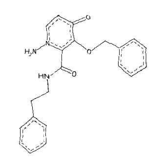 Nn1ccc(=O)c(OCc2ccccc2)c1C(=O)NCCc1ccccc1